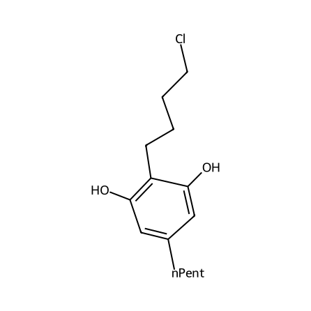 CCCCCc1cc(O)c(CCCCCl)c(O)c1